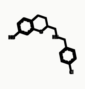 Oc1ccc2c(c1)OC(CNCc1ccc(Cl)cc1)CC2